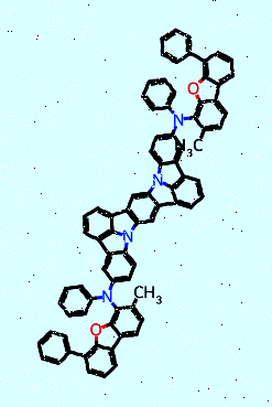 Cc1ccc2c(oc3c(-c4ccccc4)cccc32)c1N(c1ccccc1)c1ccc2c(c1)c1cccc3c4cc5c(cc4n2c13)c1cccc2c3cc(N(c4ccccc4)c4c(C)ccc6c4oc4c(-c7ccccc7)cccc46)ccc3n5c21